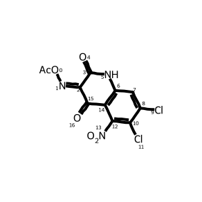 CC(=O)ON=C1C(=O)Nc2cc(Cl)c(Cl)c([N+](=O)[O-])c2C1=O